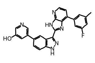 Cc1cc(F)cc(-c2ccnc3[nH]c(-c4n[nH]c5ccc(-c6cncc(O)c6)cc45)nc23)c1